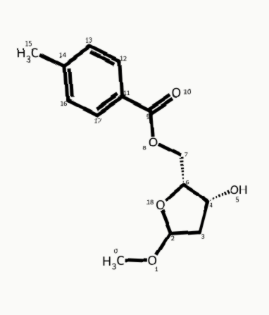 COC1C[C@@H](O)[C@@H](COC(=O)c2ccc(C)cc2)O1